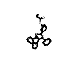 C=CC(=O)Oc1cccc(-c2nc(-c3ccccc3)c3c(n2)-c2cccc4cccc-3c24)c1